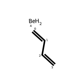 C=CC=C.[BeH2]